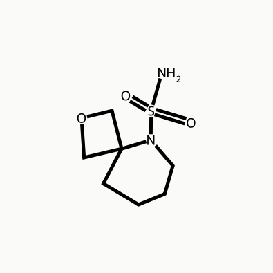 NS(=O)(=O)N1CCCCC12COC2